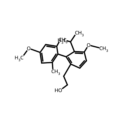 COc1cc(C)c(-c2c(CCO)ccc(OC)c2C(C)C)c(C)c1